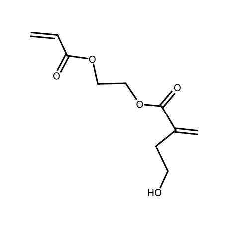 C=CC(=O)OCCOC(=O)C(=C)CCO